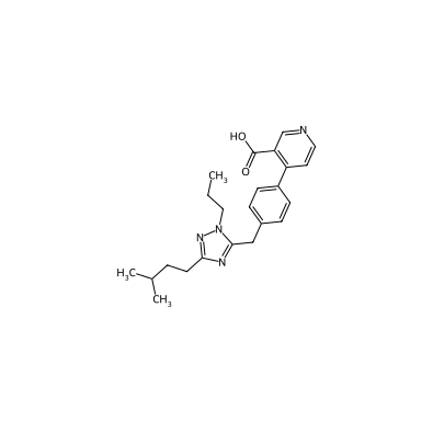 CCCn1nc(CCC(C)C)nc1Cc1ccc(-c2ccncc2C(=O)O)cc1